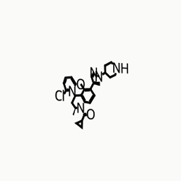 C[C@H]1CCc2c(ccc(-c3cnn(C4CCNCC4)c3)c2Oc2cccc(Cl)n2)N1C(=O)C1CC1